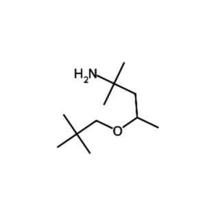 CC(CC(C)(C)N)OCC(C)(C)C